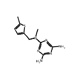 Cc1ccc(CN(C)c2nc(N)nc(N)n2)s1